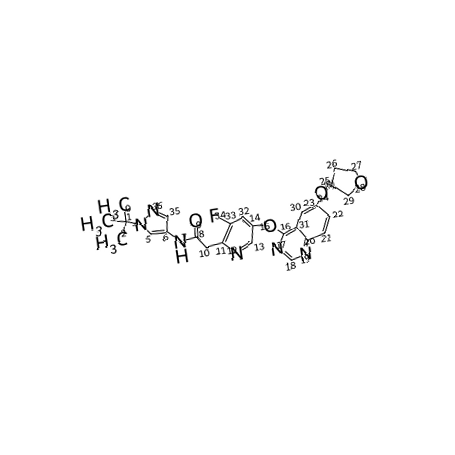 CC(C)(C)n1cc(NC(=O)Cc2ncc(Oc3ncnc4ccc(O[C@@H]5CCOC5)cc34)cc2F)cn1